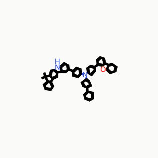 CC1(C)c2ccccc2-c2cc3c(cc21)[nH]c1ccc(-c2ccc(N(c4ccc(-c5ccccc5)cc4)c4ccc(-c5cccc6c5oc5ccccc56)cc4)cc2)cc13